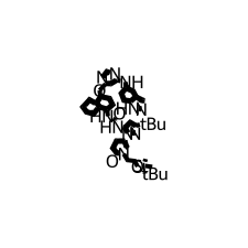 CC(C)(C)c1cc(NC(=O)Nc2ccc(Oc3cc(Nc4ccc5[nH]ncc5c4)ncn3)c3ccccc23)n(-c2ccc(=O)n(CCO[Si](C)(C)C(C)(C)C)c2)n1